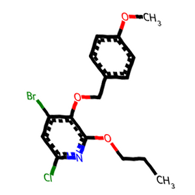 CCCOc1nc(Cl)cc(Br)c1OCc1ccc(OC)cc1